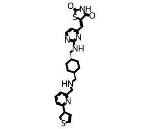 O=C1NC(=O)/C(=C/c2ccnc(NC[C@H]3CC[C@H](CNCc4cccc(C5C=CSC5)n4)CC3)n2)S1